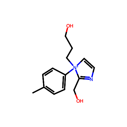 Cc1ccc([N+]2(CCCO)C=CN=C2CO)cc1